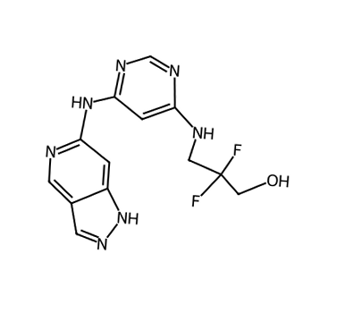 OCC(F)(F)CNc1cc(Nc2cc3[nH]ncc3cn2)ncn1